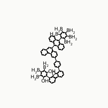 Bc1c(B)c(B)c(-c2c3ccccc3c(-c3cc4ccccc4c4cc(-c5ccc(-c6cccc7c6oc6c(-c8c(O)c(B)c(B)c(B)c8O)cccc67)cc5)ccc34)c3ccccc23)c(B)c1B